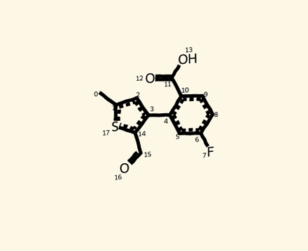 Cc1cc(-c2cc(F)ccc2C(=O)O)c(C=O)s1